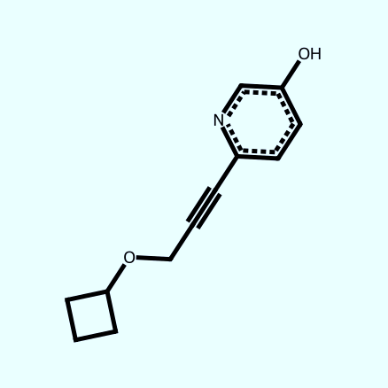 Oc1ccc(C#CCOC2CCC2)nc1